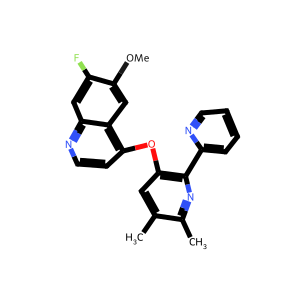 COc1cc2c(Oc3cc(C)c(C)nc3-c3ccccn3)ccnc2cc1F